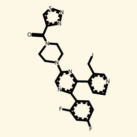 O=C(c1csnn1)N1CCN(c2cnc(-c3ccc(F)cc3F)c(-c3ccncc3CI)n2)CC1